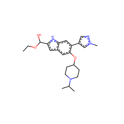 CCOC(O)c1cc2cc(OC3CCN(C(C)C)CC3)c(-c3cnn(C)c3)cc2[nH]1